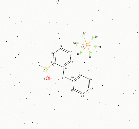 C[S+](O)c1ccccc1Cc1ccccc1.F[P-](F)(F)(F)(F)F